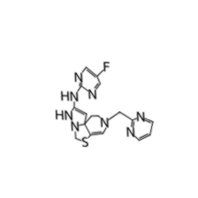 Fc1cnc(NC2=CC34CCN(Cc5ncccn5)CC=C3SCN4N2)nc1